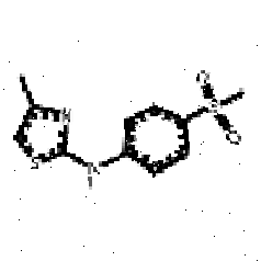 Cc1csc(Nc2ccc(S(C)(=O)=O)cc2)n1